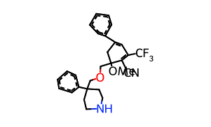 COC1(COCC2(c3ccccc3)CCNCC2)CC(c2ccccc2)=CC(C(F)(F)F)=C1C#N